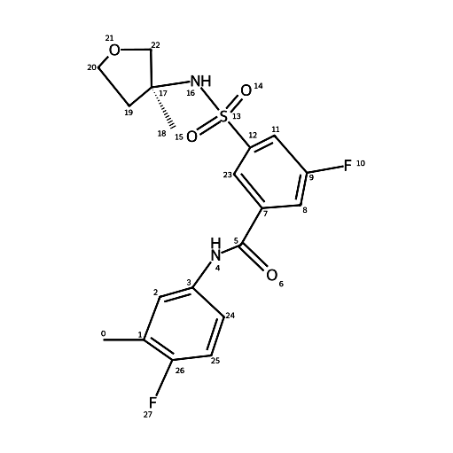 Cc1cc(NC(=O)c2cc(F)cc(S(=O)(=O)N[C@@]3(C)CCOC3)c2)ccc1F